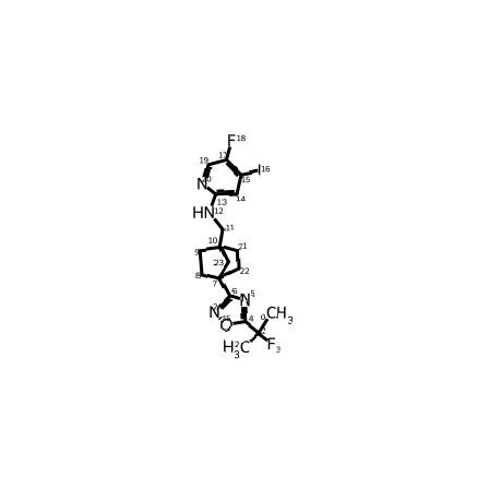 CC(C)(F)c1nc(C23CCC(CNc4cc(I)c(F)cn4)(CC2)C3)no1